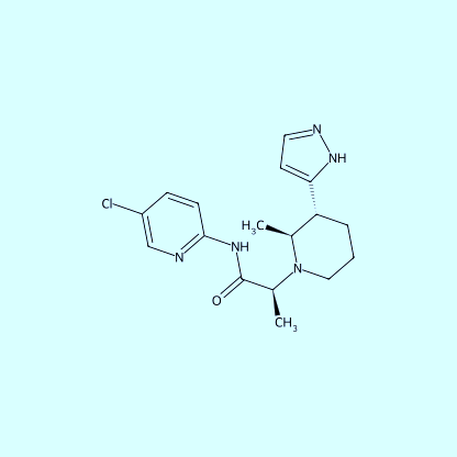 C[C@@H](C(=O)Nc1ccc(Cl)cn1)N1CCC[C@@H](c2ccn[nH]2)[C@@H]1C